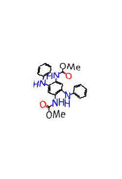 COC(=O)Nc1cc(Nc2ccccc2)c(NC(=O)OC)cc1Nc1ccccc1